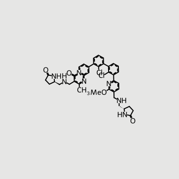 COc1nc(-c2cccc(-c3cccc(-c4ccn5c(=O)c(CNC[C@H]6CCC(=O)N6)c(C)nc5c4)c3Cl)c2Cl)ccc1CNC[C@@H]1CCC(=O)N1